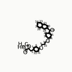 COC(Cc1ccc(OCCCOc2ccc(C(=O)c3ccc4ccccc4c3)cc2)cc1)C(=O)O